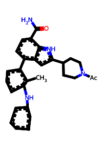 CC(=O)N1CCC(c2cc3c(-c4cccc(Nc5ccccc5)c4C)ccc(C(N)=O)c3[nH]2)CC1